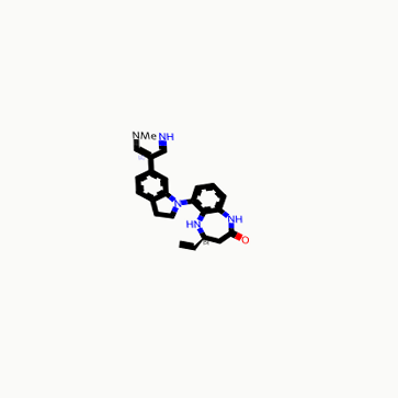 C=C[C@@H]1CC(=O)Nc2cccc(N3CCc4ccc(/C(C=N)=C/NC)cc43)c2N1